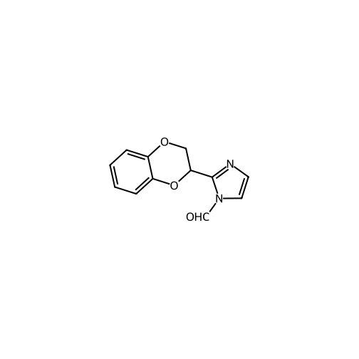 O=Cn1ccnc1C1COc2ccccc2O1